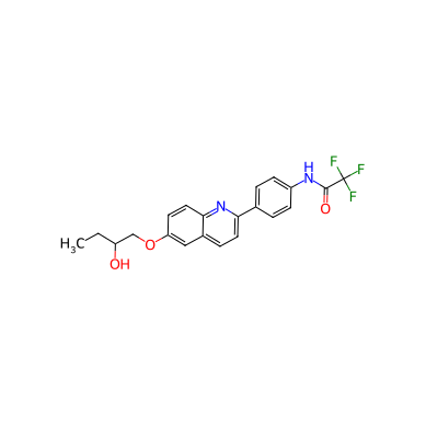 CCC(O)COc1ccc2nc(-c3ccc(NC(=O)C(F)(F)F)cc3)ccc2c1